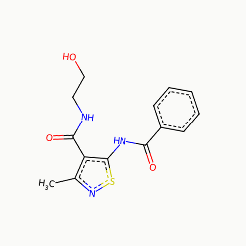 Cc1nsc(NC(=O)c2ccccc2)c1C(=O)NCCO